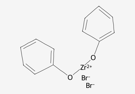 [Br-].[Br-].c1ccc([O][Zr+2][O]c2ccccc2)cc1